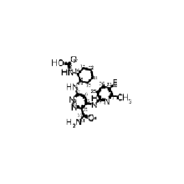 Cc1nc(Nc2cc(N[C@@H]3CCCC[C@@H]3NC(=O)O)nnc2C(N)=O)ccc1F